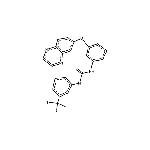 O=C(Nc1cccc(Oc2ccc3nccnc3c2)c1)Nc1cccc(C(F)(F)F)c1